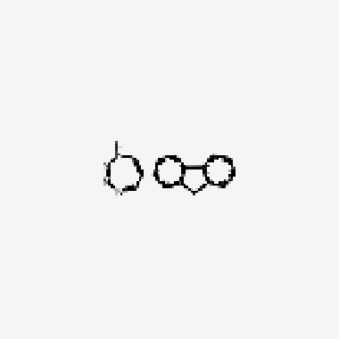 C1=CNN=NN=C1.c1ccc2c(c1)Cc1ccccc1-2